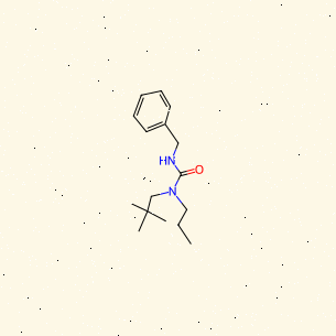 CCCN(CC(C)(C)C)C(=O)NCc1ccccc1